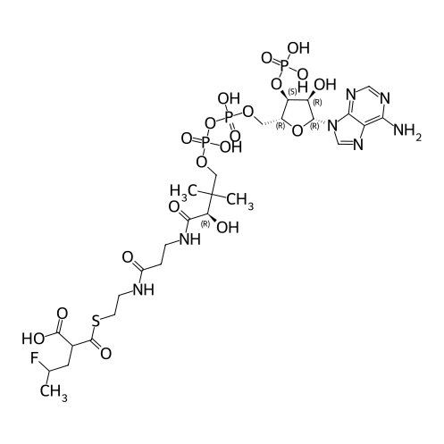 CC(F)CC(C(=O)O)C(=O)SCCNC(=O)CCNC(=O)[C@H](O)C(C)(C)COP(=O)(O)OP(=O)(O)OC[C@H]1O[C@@H](n2cnc3c(N)ncnc32)[C@H](O)[C@@H]1OP(=O)(O)O